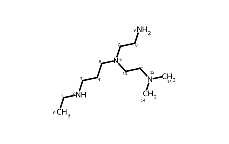 CCNCCCN(CCN)CCN(C)C